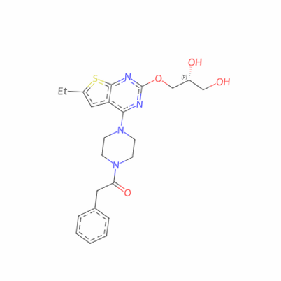 CCc1cc2c(N3CCN(C(=O)Cc4ccccc4)CC3)nc(OC[C@H](O)CO)nc2s1